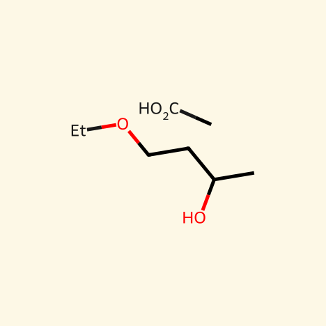 CC(=O)O.CCOCCC(C)O